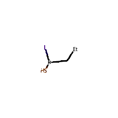 CCCB(S)I